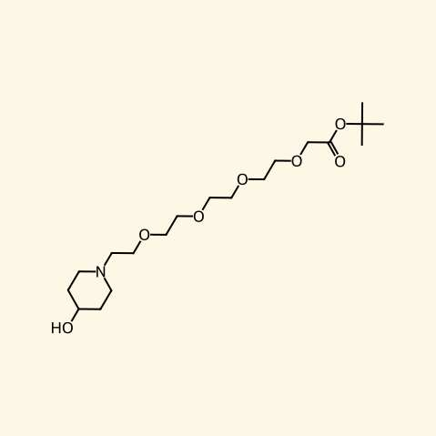 CC(C)(C)OC(=O)COCCOCCOCCOCCN1CCC(O)CC1